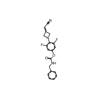 N#CC=C1CN(c2c(F)cc(OC(=O)NCc3ccccc3)cc2F)C1